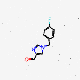 O=Cc1cn(Cc2ccc(F)cc2)cn1